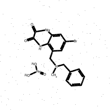 CN(Cc1ccccc1)Cc1cc(Br)cc2[nH]c(=O)c(=O)[nH]c12.O=[PH](O)O